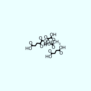 CC(=O)C(=O)O.CC(=O)O.O=C(O)CCC(=O)C(=O)O.O=C(O)CCC(=O)O